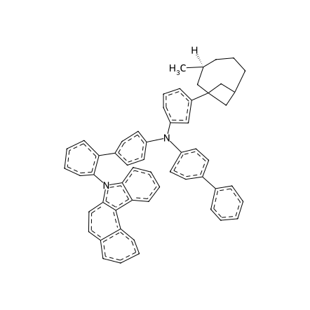 C[C@H]1CCCC2CC(c3cccc(N(c4ccc(-c5ccccc5)cc4)c4ccc(-c5ccccc5-n5c6ccccc6c6c7ccccc7ccc65)cc4)c3)(C2)C1